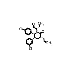 C=CC[C@@H]1C[C@H](c2cccc(Cl)c2)[C@@H](c2ccc(Cl)cc2)N([C@H](C=O)CC)C1=O